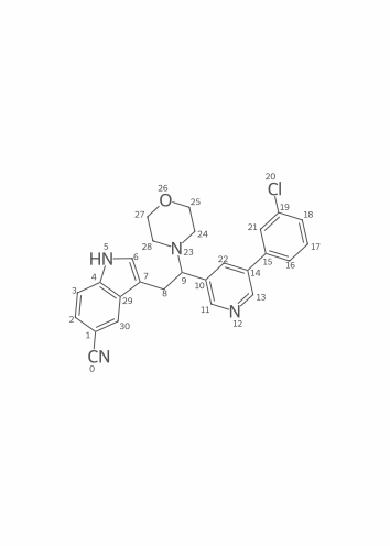 N#Cc1ccc2[nH]cc(CC(c3cncc(-c4cccc(Cl)c4)c3)N3CCOCC3)c2c1